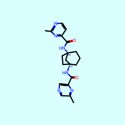 Cc1cncc(C(=O)N[C@@]23CCC[C@@](NC(=O)c4ccnc(C)n4)(CC2)C3)n1